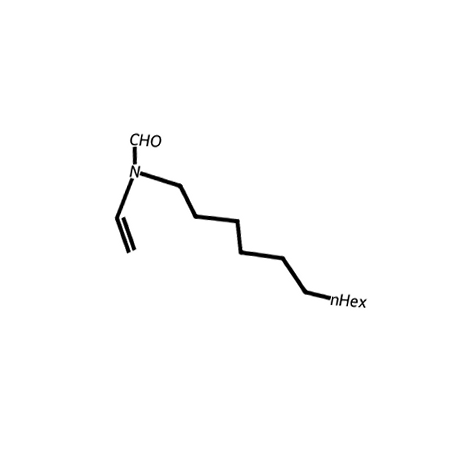 C=CN(C=O)CCCCCCCCCCCC